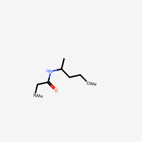 CNCC(=O)NC(C)CCOC